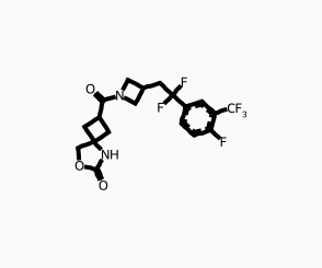 O=C1NC2(CO1)CC(C(=O)N1CC(CC(F)(F)c3ccc(F)c(C(F)(F)F)c3)C1)C2